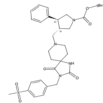 CC(C)(C)OC(=O)N1C[C@H](CN2CCC3(CC2)NC(=O)N(Cc2ccc(S(C)(=O)=O)cc2)C3=O)[C@@H](c2ccccc2)C1